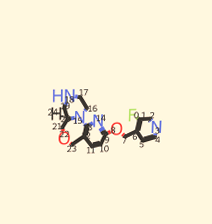 Fc1cnccc1COc1ccc2c(n1)N1CCNC[C@@H]1COC2